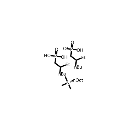 CCCCC(CC)CP(=O)(O)O.CCCCC(CC)CP(=O)([O-])O.CCCCCCCC[N+](C)(C)C